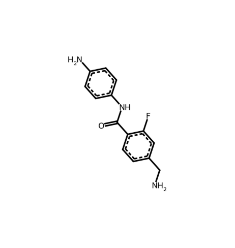 NCc1ccc(C(=O)Nc2ccc(N)cc2)c(F)c1